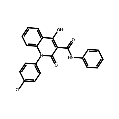 O=C(Nc1ccccc1)c1c(O)c2ccccc2n(-c2ccc(Cl)cc2)c1=O